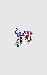 CC(Cc1ccccc1)(NC(=O)CN)c1ccc(Cl)cc1.O=C(O)/C=C\C(=O)O